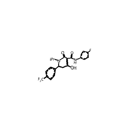 CC(C)N1C(=O)C(C(=O)Nc2ccc(F)cc2)=C(O)CC1c1ccc(C(F)(F)F)cc1